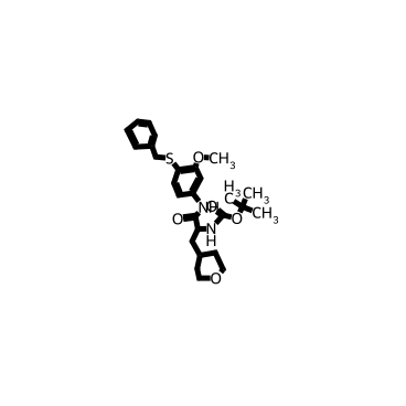 COc1cc(NC(=O)C(CC2CCOCC2)NC(=O)OC(C)(C)C)ccc1SCc1ccccc1